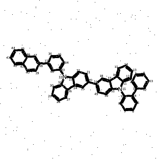 c1ccc(-c2ccccc2-n2c3ccccc3c3cc(-c4ccc5c(c4)c4ccccc4n5-c4cccc(-c5ccc6ccccc6c5)c4)ccc32)cc1